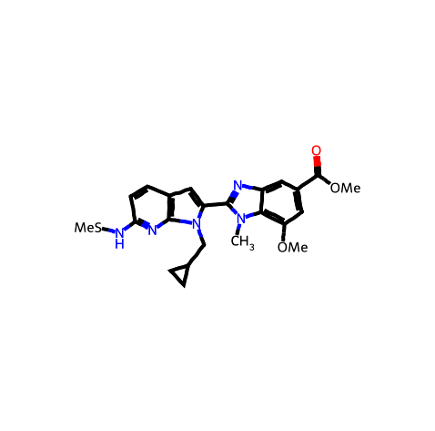 COC(=O)c1cc(OC)c2c(c1)nc(-c1cc3ccc(NSC)nc3n1CC1CC1)n2C